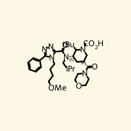 COCCCCn1c(C(=O)N(CC(C)C)[C@H]2C[C@@H](C(=O)N3CCOCC3)CN(C(=O)O)C2C(C)(C)C)nnc1-c1ccccc1